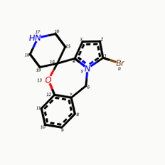 Brc1ccc2n1Cc1ccccc1OC21CCNCC1